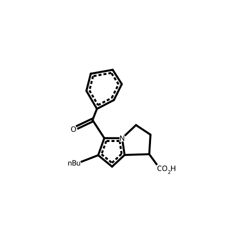 CCCCc1cc2n(c1C(=O)c1ccccc1)CCC2C(=O)O